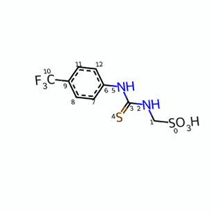 O=S(=O)(O)CNC(=S)Nc1ccc(C(F)(F)F)cc1